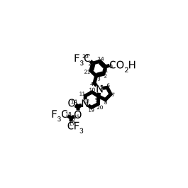 O=C(O)c1cc(CN2CCCC23CCN(C(=O)OC(C(F)(F)F)C(F)(F)F)CC3)cc(C(F)(F)F)c1